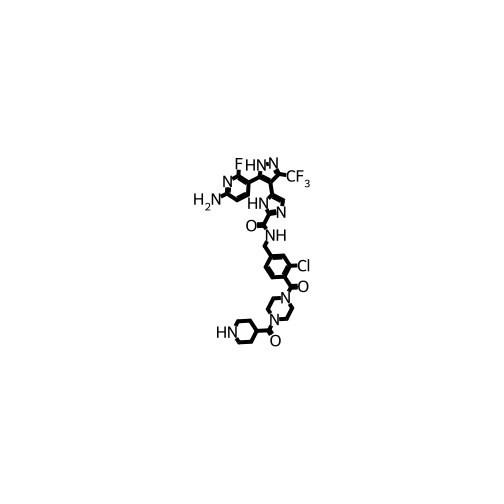 Nc1ccc(-c2[nH]nc(C(F)(F)F)c2-c2cnc(C(=O)NCc3ccc(C(=O)N4CCN(C(=O)C5CCNCC5)CC4)c(Cl)c3)[nH]2)c(F)n1